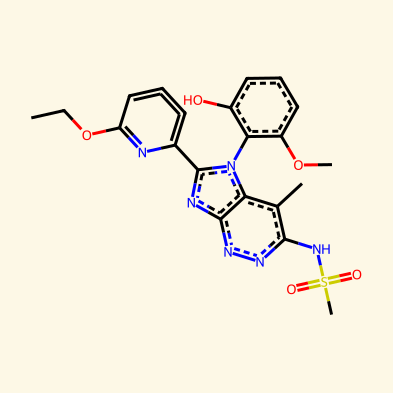 CCOC1=NC(c2nc3nnc(NS(C)(=O)=O)c(C)c3n2-c2c(O)cccc2OC)=C=C=C1